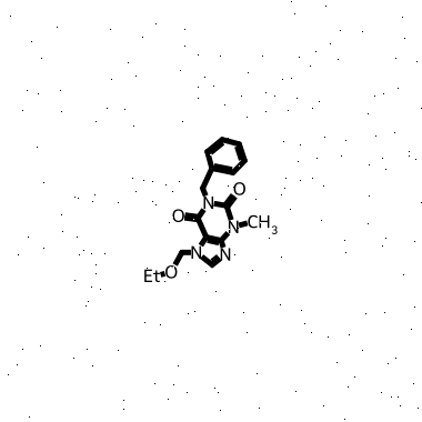 CCOCn1cnc2c1c(=O)n(Cc1ccccc1)c(=O)n2C